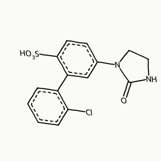 O=C1NCCN1c1ccc(S(=O)(=O)O)c(-c2ccccc2Cl)c1